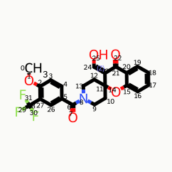 COc1ccc(C(=O)N2CCC3(CC2)Oc2ccccc2C(=O)/C3=C\O)cc1C(F)(F)F